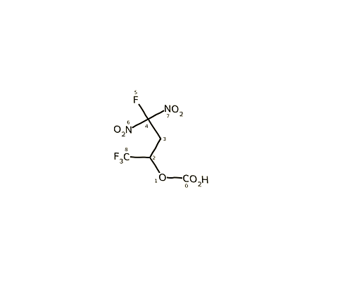 O=C(O)OC(CC(F)([N+](=O)[O-])[N+](=O)[O-])C(F)(F)F